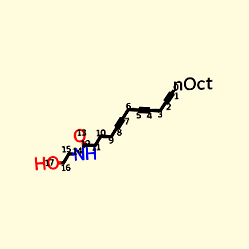 CCCCCCCCC#CCC#CCC#CCCCC(=O)NCCO